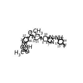 C[C@@H]1C[C@@H](N2Cc3cnc(Nc4ccc(F)cc4)nc3C2)CCN1C(=O)c1ccnc(NS(C)(=O)=O)c1